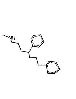 CNCCCC(CCCc1ccccc1)c1ccccc1